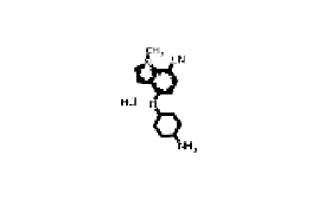 Cl.Cn1ccc2c(OC3CCC(N)CC3)ccc(C#N)c21